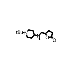 CN(CC1CCC(=O)O1)C1CCN(C(C)(C)C)CC1